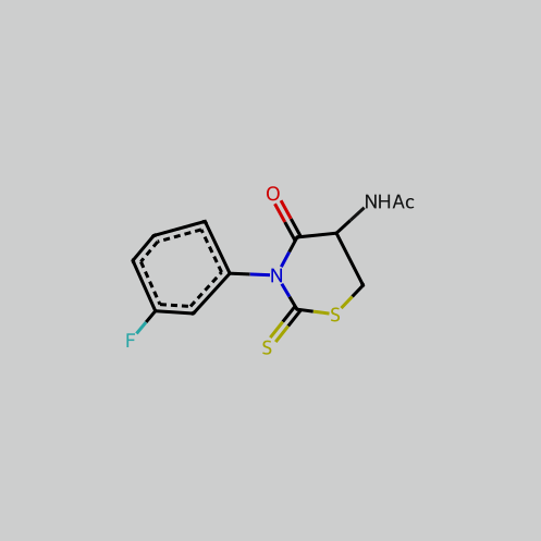 CC(=O)NC1CSC(=S)N(c2cccc(F)c2)C1=O